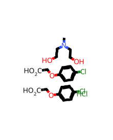 CN(CCO)CCO.Cl.O=C(O)COc1ccc(Cl)cc1.O=C(O)COc1ccc(Cl)cc1